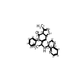 CC1=NSC2C=C(C(C)Nc3ncnc4cccnc34)N(c3ccccc3)C(=O)C12